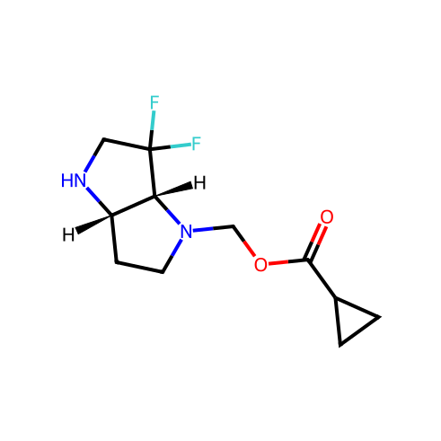 O=C(OCN1CC[C@@H]2NCC(F)(F)[C@@H]21)C1CC1